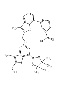 Cc1c(CO)sc2c(-c3cc(C(=O)O)ccn3)cccc12.Cc1c(CO)sc2c(B3OC(C)(C)C(C)(C)O3)cccc12